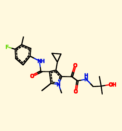 Cc1cc(NC(=O)c2c(C3CC3)c(C(=O)C(=O)NCC(C)(C)O)n(C)c2C)ccc1F